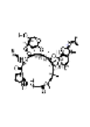 CO[C@]1(C)C[C@H](O[C@@H]2[C@H](C)[C@@H](O[C@@H]3O[C@H](C)CC4[C@H]3O/C(=N/C(C)C)N4C)[C@](C)(O)C[C@@H](C)CN(C)C(=O)CNC(=O)[C@@H]3CCCN3C(=O)[C@H](CCSC)NC(=O)[C@@H]2C)OC[C@@H]1O